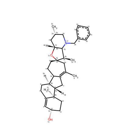 CC1=C2C[C@H]3[C@@H](CCC4=C[C@@H](O)CC[C@@]43C)C2CC[C@@]2(C1)O[C@@H]1C[C@H](C)CN(Cc3ccccc3)C1[C@H]2C